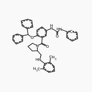 Cc1cccc(C)c1NCC1CCCN1C(=O)c1cc(NC(=O)Nc2ccccc2)ccc1OC(c1ccccc1)c1ccccc1